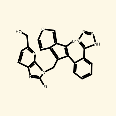 CCc1nc2ccc(CO)nc2n1Cc1c2ccocc-2c(Br)c1-c1ccccc1-c1nnn[nH]1